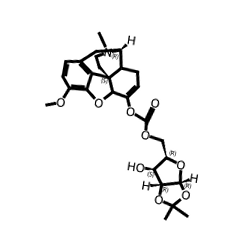 COc1ccc2c3c1OC1C(OC(=O)OC[C@H]4O[C@@H]5OC(C)(C)O[C@@H]5[C@H]4O)=CCC4[C@@H](C2)N(C)CC[C@]314